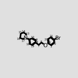 Brc1ccc(OCCc2ccc(N3CCCCC3)cc2)cc1